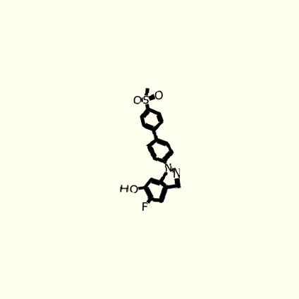 CS(=O)(=O)c1ccc(-c2ccc(-n3ncc4cc(F)c(O)cc43)cc2)cc1